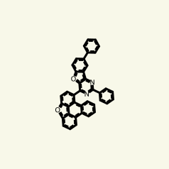 c1ccc(-c2ccc3oc4c(-c5ccc6oc7cccc8c9ccccc9c5c6c78)nc(-c5ccccc5)nc4c3c2)cc1